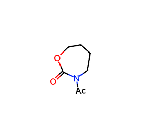 CC(=O)N1CCCCOC1=O